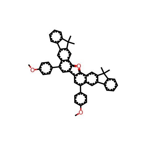 COc1ccc(-c2cc3c4cc(-c5ccc(OC)cc5)c5cc6c(cc5c4oc3c3cc4c(cc23)-c2ccccc2C4(C)C)C(C)(C)c2ccccc2-6)cc1